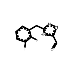 O=Cc1nnc(Cc2cccc(F)c2F)[nH]1